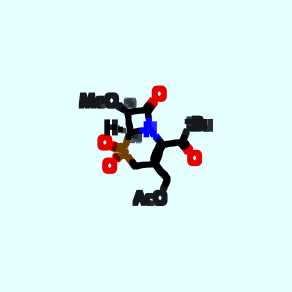 CO[C@H]1C(=O)N2C(C(=O)C(C)(C)C)=C(COC(C)=O)CS(=O)(=O)[C@@H]12